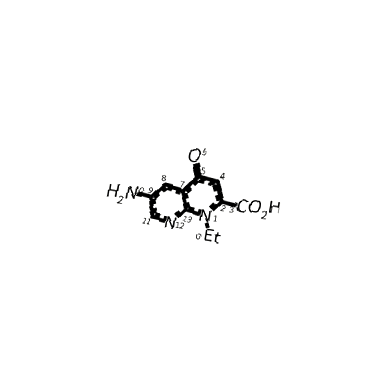 CCn1c(C(=O)O)cc(=O)c2cc(N)cnc21